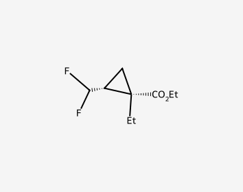 CCOC(=O)[C@@]1(CC)C[C@H]1C(F)F